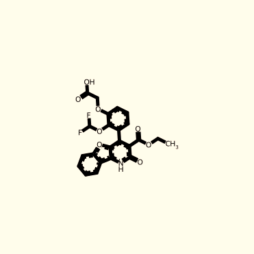 CCOC(=O)c1c(-c2cccc(OCC(=O)O)c2OC(F)F)c2oc3ccccc3c2[nH]c1=O